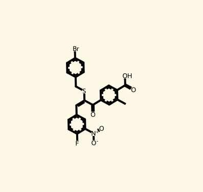 Cc1cc(C(=O)/C(=C\c2ccc(F)c([N+](=O)[O-])c2)SCc2ccc(Br)cc2)ccc1C(=O)O